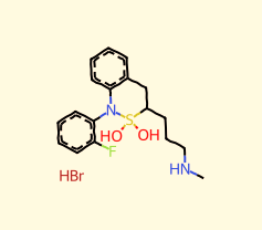 Br.CNCCCC1Cc2ccccc2N(c2ccccc2F)S1(O)O